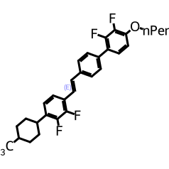 CCCCCOc1ccc(-c2ccc(/C=C/c3ccc(C4CCC(C)CC4)c(F)c3F)cc2)c(F)c1F